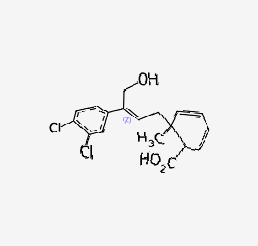 CC1(C/C=C(\CO)c2ccc(Cl)c(Cl)c2)C=CC=CC1C(=O)O